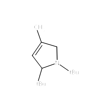 CC1=CC(C(C)(C)C)N(C(C)(C)C)C1